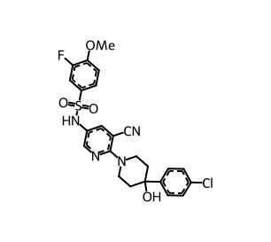 COc1ccc(S(=O)(=O)Nc2cnc(N3CCC(O)(c4ccc(Cl)cc4)CC3)c(C#N)c2)cc1F